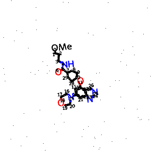 COCCCNC(=O)C1CCC(Oc2cc(N3CCOCC3)cc3ncncc23)CC1